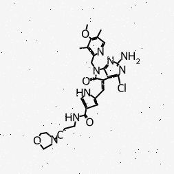 COc1c(C)cnc(CN2C(=O)/C(=C\c3cc(C(=O)NCCCN4CCOCC4)c[nH]3)c3c(Cl)nc(N)nc32)c1C